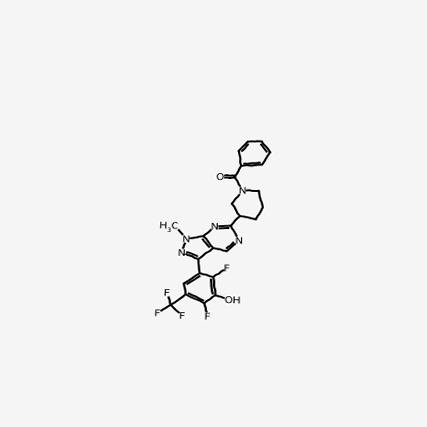 Cn1nc(-c2cc(C(F)(F)F)c(F)c(O)c2F)c2cnc(C3CCCN(C(=O)c4ccccc4)C3)nc21